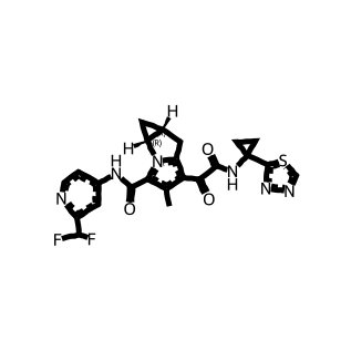 Cc1c(C(=O)C(=O)NC2(c3nncs3)CC2)c2n(c1C(=O)Nc1ccnc(C(F)F)c1)[C@@H]1C[C@@H]1C2